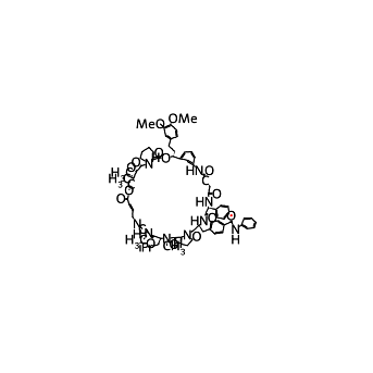 COc1ccc(CC[C@H]2OC(=O)[C@@H]3CCCCN3C(=O)C(=O)C(C)(C)COC(=O)/C=C/CNCN(C)C(=O)[C@H](CC(C)C)N(C)C(=O)[C@H]3CCCN3C(=O)[C@H](Cc3ccc(C(=O)Nc4ccccc4)cc3)NC(=O)[C@H](c3ccccc3)NC(=O)CCC(=O)Nc3cccc2c3)cc1OC